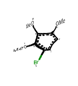 COc1ccc(Br)c(OC)c1OC